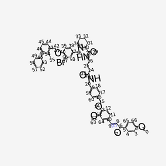 COc1ccc(C(=O)/C=C/c2ccc(OCc3ccc(CNC(=O)CCCNC(=O)C4CCCCN4Cc4ccc(OCc5cccc(-c6ccccc6)c5C)c(Br)c4)cc3)c(OC)c2)cc1